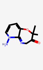 CC1(C)OC2=CC=CN(N)C2=NCC1=O